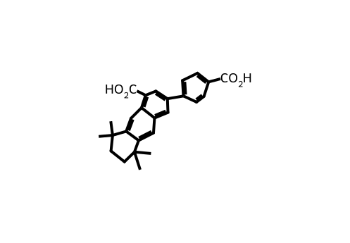 CC1(C)CCC(C)(C)c2cc3c(C(=O)O)cc(-c4ccc(C(=O)O)cc4)cc3cc21